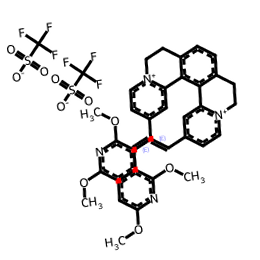 COc1ccc(/C=C/c2cc[n+]3c(c2)-c2c(ccc4c2-c2cc(/C=C/c5ccc(OC)nc5OC)cc[n+]2CC4)CC3)c(OC)n1.O=S(=O)([O-])C(F)(F)F.O=S(=O)([O-])C(F)(F)F